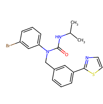 CC(C)NC(=O)N(Cc1cccc(-c2nccs2)c1)c1cccc(Br)c1